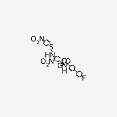 O=C(NS(=O)(=O)c1ccc(NCCSc2ccc([N+](=O)[O-])cc2)c([N+](=O)[O-])c1)c1ccc(-c2ccc(F)cc2)cc1